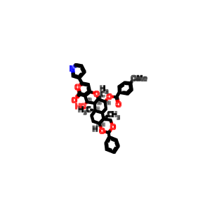 COc1ccc(C(=O)O[C@H]2CC3[C@](C)(CC[C@@H]4OC(c5ccccc5)OC[C@@]34C)C3[C@@H](O)c4c(cc(-c5cccnc5)oc4=O)O[C@@]32C)cc1